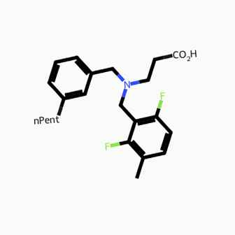 CCCCCc1cccc(CN(CCC(=O)O)Cc2c(F)ccc(C)c2F)c1